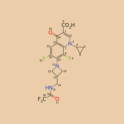 O=C(O)c1cn(C2CC2)c2c(F)c(N3CC(CNC(=O)C(F)(F)F)C3)c(F)cc2c1=O